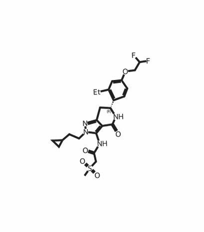 CCc1cc(OCC(F)F)ccc1[C@H]1Cc2nn(CCC3CC3)c(NC(=O)CS(C)(=O)=O)c2C(=O)N1